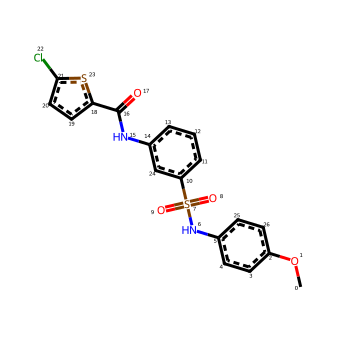 COc1ccc(NS(=O)(=O)c2cccc(NC(=O)c3ccc(Cl)s3)c2)cc1